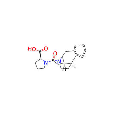 CN1CC[C@]2(C)c3ccccc3CC1[C@@H]2CC(=O)N1CCC[C@H]1C(=O)O